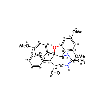 COc1ccc([C@@]23Oc4cc(OC)cc(OC)c4[C@@]24NC(C)=NC4[C@H](C=O)[C@H]3c2ccccc2)cc1